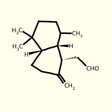 C=C1CC[C@H]2[C@H](C(C)CCC2(C)C)[C@@H]1CC=O